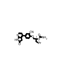 CC(C)C[C@@](C)(COc1ccc(-c2ccnc3c2CC(=O)N3)cc1C#N)OC(N)=O